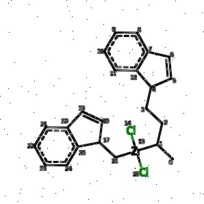 C[CH](CCC1C=Cc2ccccc21)[Zr]([Cl])([Cl])[CH2]C1C=Cc2ccccc21